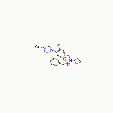 CC(=O)N1CCN(c2ccc(CN(C3CCC3)S(=O)(=O)Cc3ccccc3)cc2F)CC1